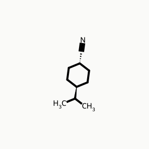 CC(C)[C@H]1CC[C@H](C#N)CC1